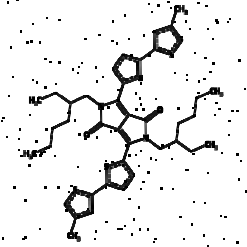 CCCCC(CC)CN1C(=O)C2=C(c3ccc(-c4cc(C)cs4)s3)N(CC(CC)CCCC)C(=O)C2=C1c1ccc(-c2cc(C)cs2)s1